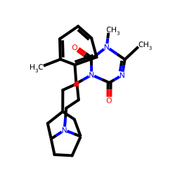 Cc1ccccc1CCC1CC2CCC(C1)N2CCCn1c(=O)nc(C)n(C)c1=O